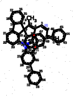 C=C/C=C\C1=C(C)C2(c3ccccc31)c1ccccc1-c1cccc(-n3c4ccc(-c5ccccc5)cc4c4cc(-c5ccccc5)ccc43)c12